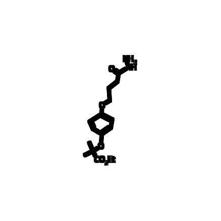 CCOC(=O)C(C)(C)Oc1ccc(OCCCC(=O)NN)cc1